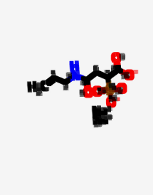 C=CCNC(=O)CC(C(=O)[O-])S(=O)(=O)[O-].[Na+].[Na+]